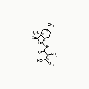 C[C@@H]1CC[C@@H](CNC(=O)[C@@H](N)[C@@H](C)O)[C@@](N)(C(=O)O)C1